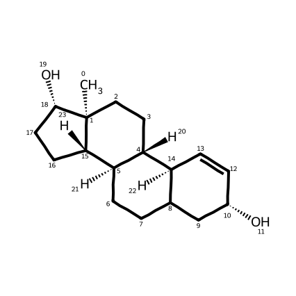 C[C@]12CC[C@H]3[C@@H](CCC4C[C@@H](O)C=C[C@@H]43)[C@@H]1CC[C@@H]2O